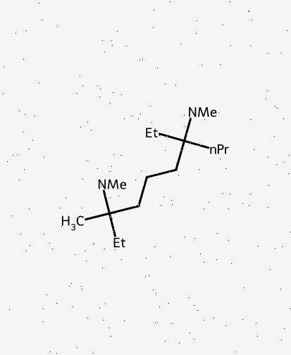 [CH2]CCC(CC)(CCCC(C)(CC)NC)NC